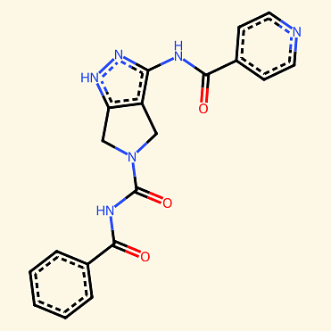 O=C(NC(=O)N1Cc2[nH]nc(NC(=O)c3ccncc3)c2C1)c1ccccc1